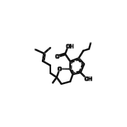 CCCc1cc(O)c2c(c1C(=O)O)OC(C)(CCC=C(C)C)CC2